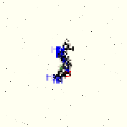 Cc1cc(C)cc(Nc2ncc3c(n2)CN(C2(C)CCN(C(=O)c4cc5nn[nH]c5cc4F)CC2)C3)c1